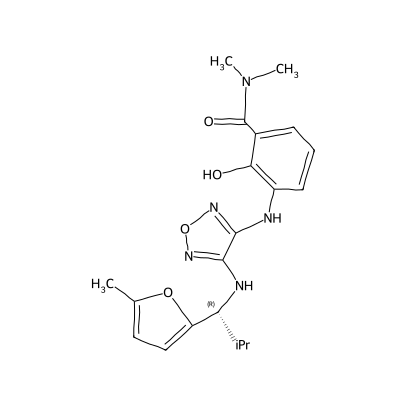 Cc1ccc([C@H](Nc2nonc2Nc2cccc(C(=O)N(C)C)c2O)C(C)C)o1